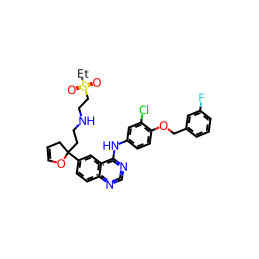 CCS(=O)(=O)CCNCCC1(c2ccc3ncnc(Nc4ccc(OCc5cccc(F)c5)c(Cl)c4)c3c2)CC=CO1